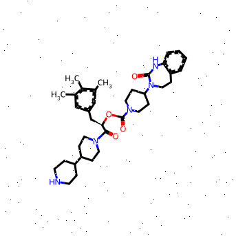 Cc1cc(C[C@@H](OC(=O)N2CCC(N3CCc4ccccc4NC3=O)CC2)C(=O)N2CCC(C3CCNCC3)CC2)cc(C)c1C